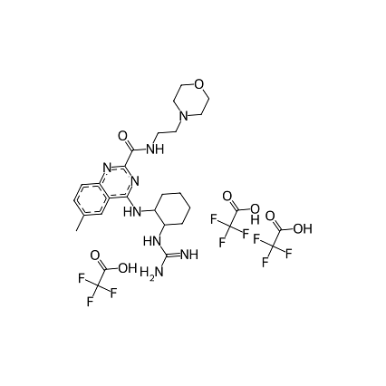 Cc1ccc2nc(C(=O)NCCN3CCOCC3)nc(NC3CCCCC3NC(=N)N)c2c1.O=C(O)C(F)(F)F.O=C(O)C(F)(F)F.O=C(O)C(F)(F)F